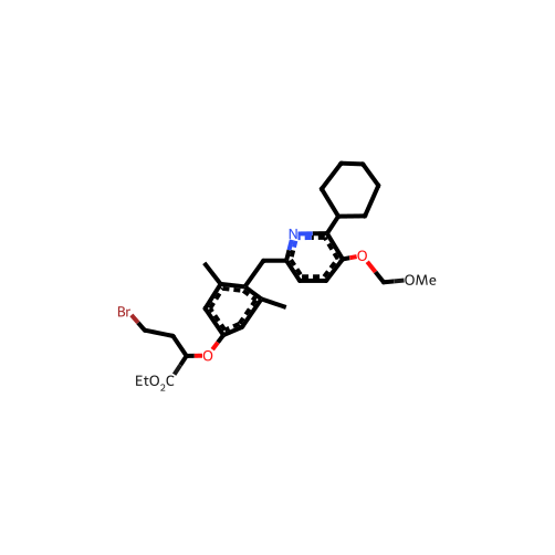 CCOC(=O)C(CCBr)Oc1cc(C)c(Cc2ccc(OCOC)c(C3CCCCC3)n2)c(C)c1